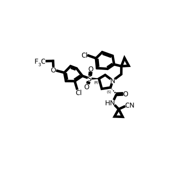 N#CC1(NC(=O)[C@@H]2C[C@@H](S(=O)(=O)c3ccc(OCC(F)(F)F)cc3Cl)CN2CC2(c3ccc(Cl)cc3)CC2)CC1